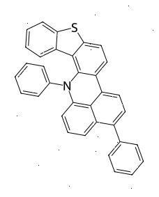 c1ccc(-c2ccc3c4c(cccc24)N(c2ccccc2)c2c-3ccc3sc4ccccc4c23)cc1